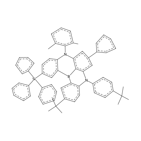 Cc1cccc(C)c1N1c2ccc([Si](c3ccccc3)(c3ccccc3)c3ccccc3)cc2B2c3cc(C(C)(C)C)ccc3N(c3ccc(C(C)(C)C)cc3)c3cc(-c4ccccc4)cc1c32